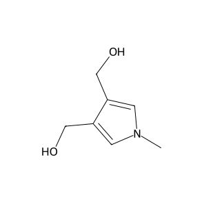 Cn1cc(CO)c(CO)c1